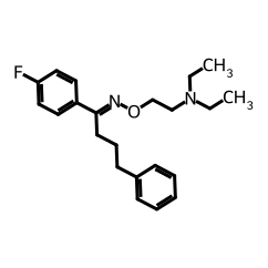 CCN(CC)CCON=C(CCCc1ccccc1)c1ccc(F)cc1